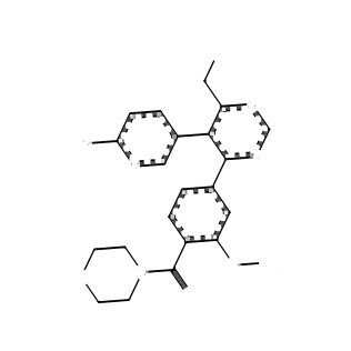 CCc1ncnc(-c2ccc(C(=O)N3CCOCC3)c(OC)c2)c1-c1ccc(N)nc1